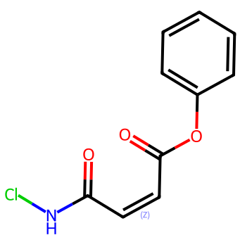 O=C(/C=C\C(=O)Oc1ccccc1)NCl